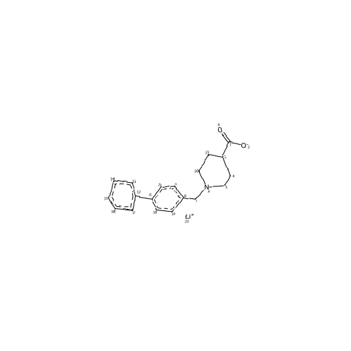 O=C([O-])C1CCN(Cc2ccc(-c3ccccc3)cc2)CC1.[Li+]